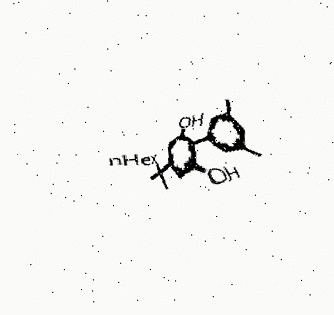 CCCCCCC(C)(C)c1cc(O)c(-c2cc(C)cc(C)c2)c(O)c1